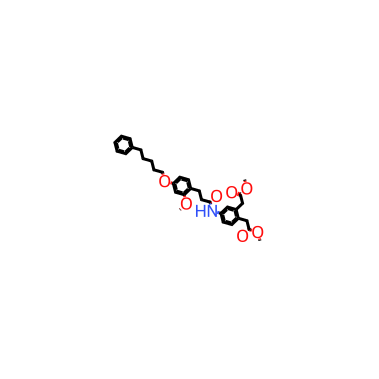 COC(=O)Cc1ccc(NC(=O)CCc2ccc(OCCCCCc3ccccc3)cc2OC)cc1CC(=O)OC